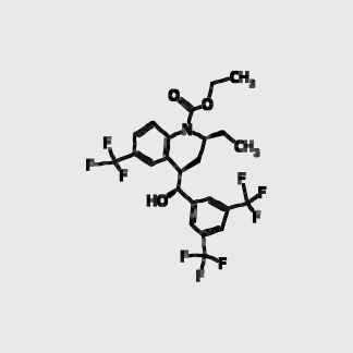 CCOC(=O)N1c2ccc(C(F)(F)F)cc2[C@H]([C@H](O)c2cc(C(F)(F)F)cc(C(F)(F)F)c2)C[C@@H]1CC